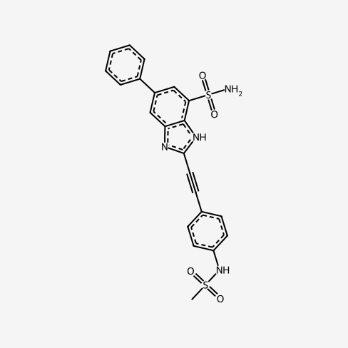 CS(=O)(=O)Nc1ccc(C#Cc2nc3cc(-c4ccccc4)cc(S(N)(=O)=O)c3[nH]2)cc1